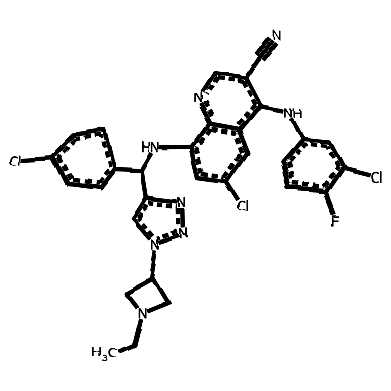 CCN1CC(n2cc(C(Nc3cc(Cl)cc4c(Nc5ccc(F)c(Cl)c5)c(C#N)cnc34)c3ccc(Cl)cc3)nn2)C1